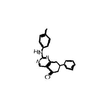 Cc1ccc(Nc2ncc3c(n2)CC(c2ccccc2)CC3=O)cc1